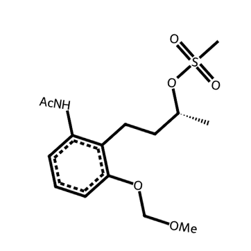 COCOc1cccc(NC(C)=O)c1CC[C@@H](C)OS(C)(=O)=O